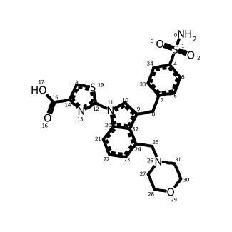 NS(=O)(=O)c1ccc(Cc2cn(-c3nc(C(=O)O)cs3)c3cccc(CN4CCOCC4)c23)cc1